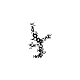 CCc1cc(OCOCC[Si](C)(C)C)c(F)cc1-c1ccc2c(-c3nc(CNC(=O)N4CC[C@@H](O)C4)cn3COCC[Si](C)(C)C)nn(COCC[Si](C)(C)C)c2c1